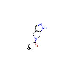 C=CC(=O)N1Cc2cn[nH]c2C1